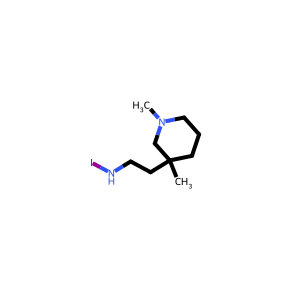 CN1CCCC(C)(CCNI)C1